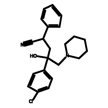 N#CC(CC(O)(CN1CCCCC1)c1ccc(Cl)cc1)c1ccccc1